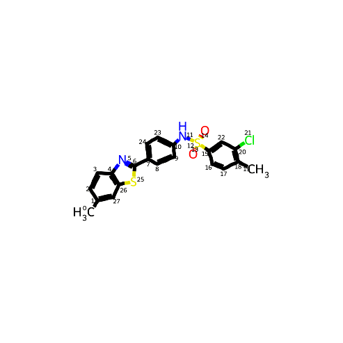 Cc1ccc2nc(-c3ccc(NS(=O)(=O)c4ccc(C)c(Cl)c4)cc3)sc2c1